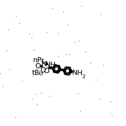 CCCN(NC(=O)c1ccc(-c2ccc(N)cc2)cc1)C(=O)OC(C)(C)C